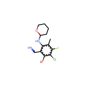 Cc1c(F)c(Cl)c(Br)c(C=N)c1NC1CCCCO1